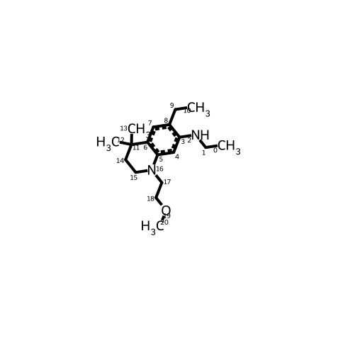 CCNc1cc2c(cc1CC)C(C)(C)CCN2CCOC